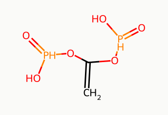 C=C(O[PH](=O)O)O[PH](=O)O